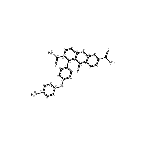 NC(=O)c1ccc2c(=O)c3c(-c4ccc(Nc5ccc(N)cc5)cc4)c(C(N)=O)ccc3sc2c1